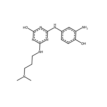 CN(C)CCCNc1nc(O)nc(Nc2ccc(O)c(N)c2)n1